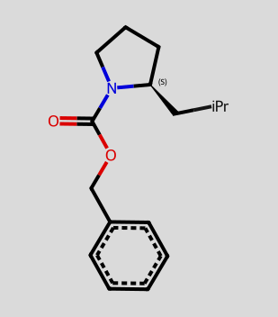 CC(C)C[C@@H]1CCCN1C(=O)OCc1ccccc1